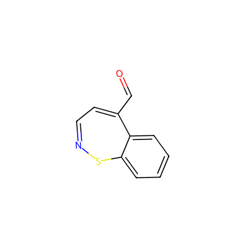 O=CC1=CC=NSc2ccccc21